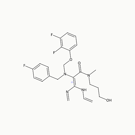 C=CN/C(N=C)=C(\C(=O)N(C)CCCO)N(COc1cccc(F)c1F)Cc1ccc(F)cc1